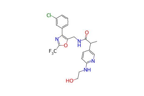 CC(C(=O)NCc1oc(C(F)(F)F)nc1-c1cccc(Cl)c1)c1ccc(NCCO)nc1